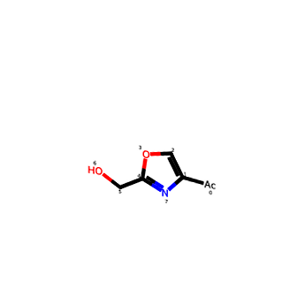 CC(=O)c1coc(CO)n1